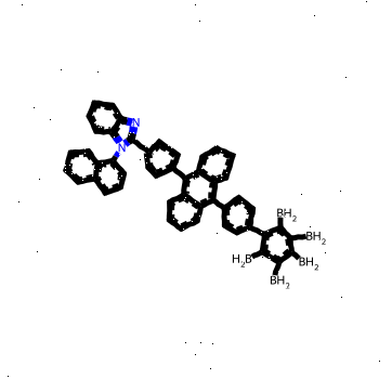 Bc1c(B)c(B)c(-c2ccc(-c3c4ccccc4c(-c4ccc(-c5nc6ccccc6n5-c5cccc6ccccc56)cc4)c4ccccc34)cc2)c(B)c1B